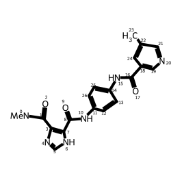 CNC(=O)c1nc[nH]c1C(=O)Nc1ccc(NC(=O)c2cncc(C)c2)cc1